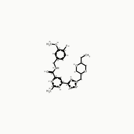 CCC1COC(Cn2nnc(-c3cc(C(=O)NCc4ccc(F)c(OC)c4)nc(C)n3)n2)CO1